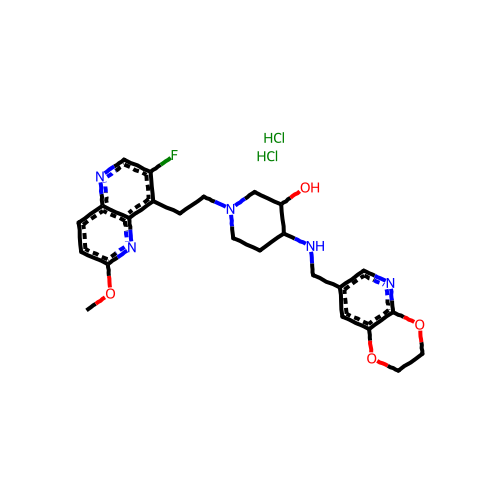 COc1ccc2ncc(F)c(CCN3CCC(NCc4cnc5c(c4)OCCO5)C(O)C3)c2n1.Cl.Cl